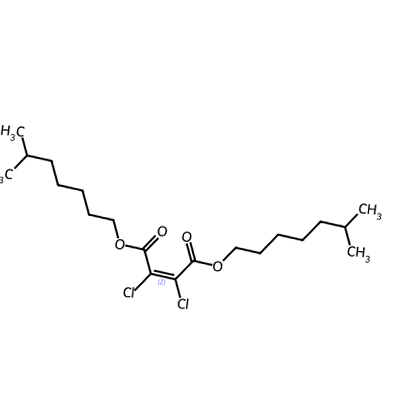 CC(C)CCCCCOC(=O)/C(Cl)=C(/Cl)C(=O)OCCCCCC(C)C